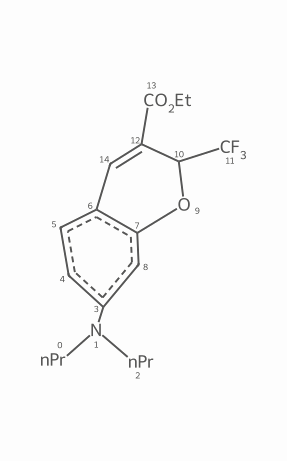 CCCN(CCC)c1ccc2c(c1)OC(C(F)(F)F)C(C(=O)OCC)=C2